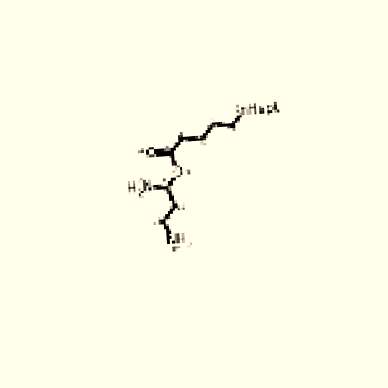 CCCCCCCCCCCC(=O)OC(N)CCN